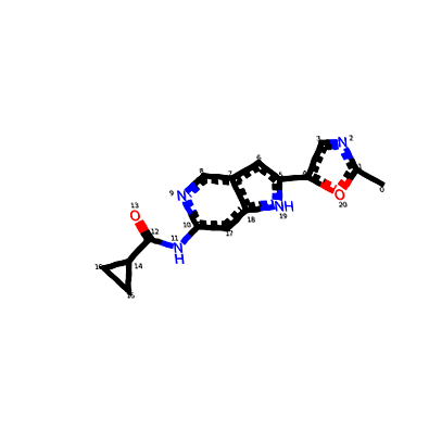 Cc1ncc(-c2cc3cnc(NC(=O)C4CC4)cc3[nH]2)o1